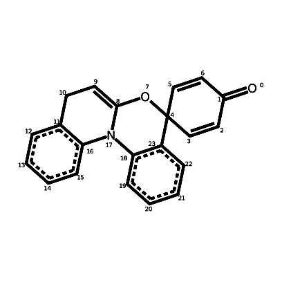 O=C1C=CC2(C=C1)OC1=CCc3ccccc3N1c1ccccc12